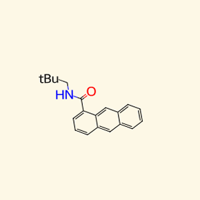 CC(C)(C)CNC(=O)c1cccc2cc3ccccc3cc12